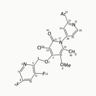 COc1c(OCc2ncc(F)cc2F)c(Cl)c(=O)n(-c2ccnc(C(C)=O)c2)c1C